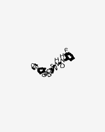 CN(Cc1csc(NC(=O)NCc2cccc(F)c2)n1)S(=O)(=O)c1ccc(N2CCOCC2)cc1